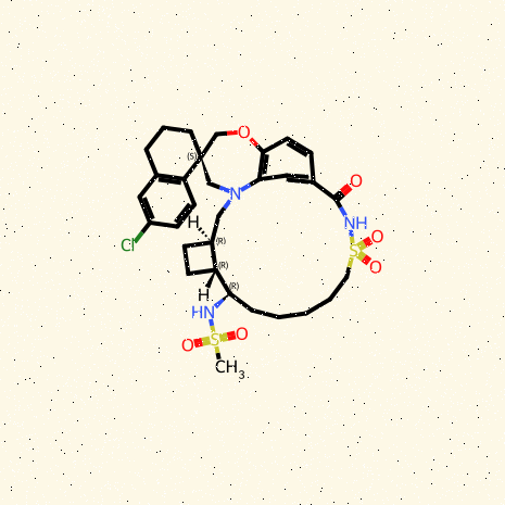 CS(=O)(=O)N[C@@H]1CCCCCS(=O)(=O)NC(=O)c2ccc3c(c2)N(C[C@@H]2CC[C@H]21)C[C@@]1(CCCc2cc(Cl)ccc21)CO3